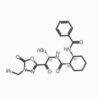 CCCC[C@H](NC(=O)[C@@H]1CCCC[C@@H]1NC(=O)c1ccccc1)C(=O)c1nn(CC(C)C)c(=O)o1